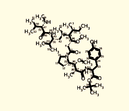 CC[C@H](C)[C@@H]([C@@H](CC(=O)N1CCC[C@H]1[C@H](OC)[C@@H](C)C(=O)NC(Cc1ccc(O)cc1)C(=O)OC(C)(C)C)OC)N(C)C[C@@H](NC(=O)[C@@H](NC)C(C)C)C(C)C